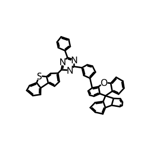 C1=CC2c3ccccc3C3(c4ccccc4Oc4c(-c5cccc(-c6nc(-c7ccccc7)nc(-c7ccc8c(c7)sc7ccccc78)n6)c5)cccc43)C2C=C1